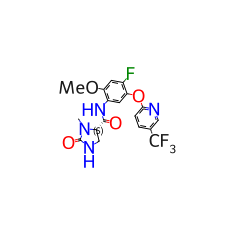 COc1cc(F)c(Oc2ccc(C(F)(F)F)cn2)cc1NC(=O)[C@@H]1CNC(=O)N1C